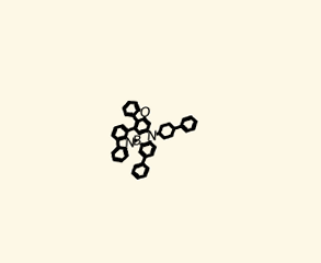 c1ccc(-c2ccc3c(c2)B2c4c(cc5oc6ccccc6c5c4-c4cccc5c6ccccc6n2c45)N3C2CCC(c3ccccc3)CC2)cc1